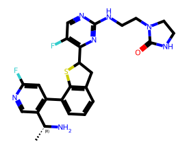 C[C@@H](N)c1cnc(F)cc1-c1cccc2c1SC(c1nc(NCCN3CCNC3=O)ncc1F)C2